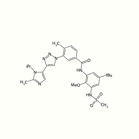 COc1c(NC(=O)c2ccc(C)c(-n3cc(-c4cnc(C)n4C(C)C)nn3)c2)cc(C(C)(C)C)cc1NS(C)(=O)=O